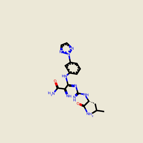 CC(C)C[C@@H](NC(=N)/N=C(/Nc1cccc(-n2nccn2)c1)C(=N)C(N)=O)C(N)=O